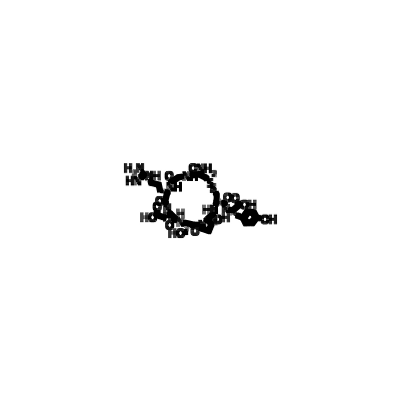 N=C(N)NCCC[C@@H]1NC(=O)CNC(=O)[C@H](N)CSSC[C@H](C(=O)N[C@@H](Cc2ccc(O)cc2)C(=O)O)NC(=O)[C@@H]2CCCN2C(=O)[C@H](CO)NC(=O)[C@H](CC(=O)O)NC1=O